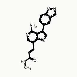 CNC(=O)C=Cc1cnc(N)c2c(-c3ccc4oncc4c3)csc12